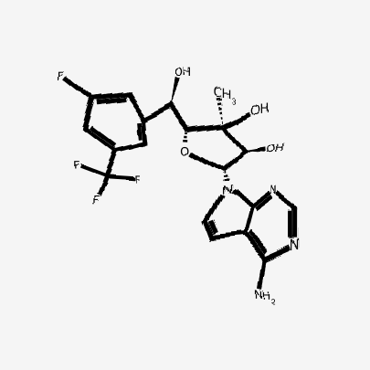 C[C@@]1(O)[C@@H]([C@H](O)c2cc(F)cc(C(F)(F)F)c2)O[C@@H](n2ccc3c(N)ncnc32)[C@@H]1O